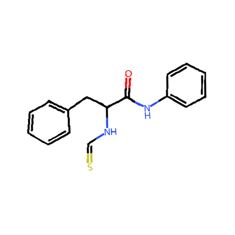 O=C(Nc1ccccc1)C(Cc1ccccc1)NC=S